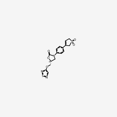 O=C1O[C@@H](COc2cnsn2)CN1c1ccc(C2=CCS(=O)(=O)C2)cc1